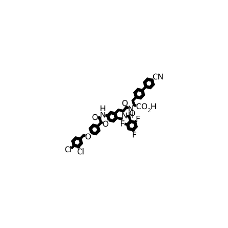 N#Cc1ccc(-c2ccc(CC(NC(=O)C3Cc4cc5c(cc4CN3C(=O)c3c(F)cc(F)cc3F)OC(c3ccc(OCc4ccc(Cl)c(Cl)c4)cc3)C(=O)N5)C(=O)O)cc2)cc1